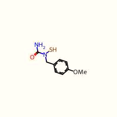 COc1ccc(CN(S)C(N)=O)cc1